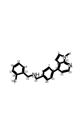 Cn1ccc2c(-c3ccc(CNCc4ccccc4F)cc3)ccnc21